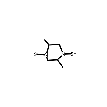 CC1CN(S)C(C)CN1S